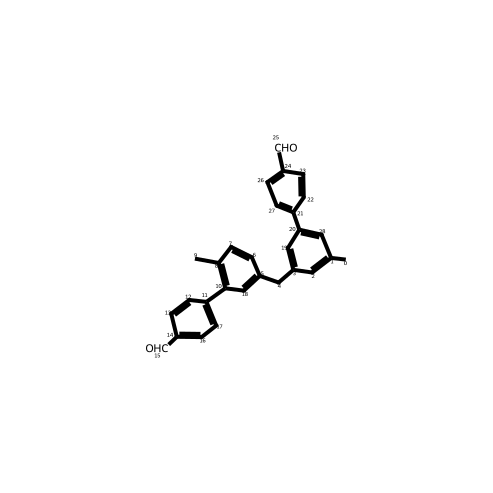 Cc1cc(Cc2ccc(C)c(-c3ccc(C=O)cc3)c2)cc(-c2ccc(C=O)cc2)c1